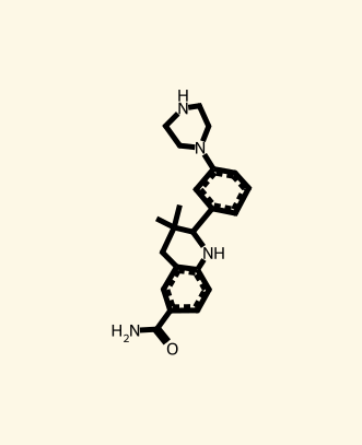 CC1(C)Cc2cc(C(N)=O)ccc2NC1c1cccc(N2CCNCC2)c1